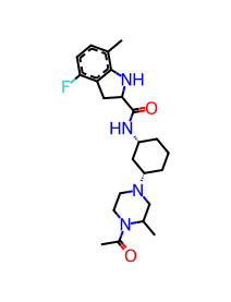 CC(=O)N1CCN([C@H]2CCC[C@@H](NC(=O)C3Cc4c(F)ccc(C)c4N3)C2)CC1C